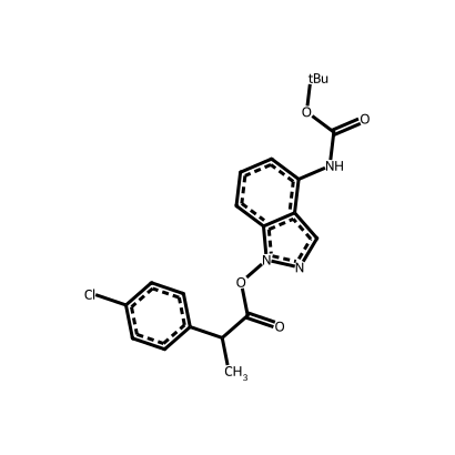 CC(C(=O)On1ncc2c(NC(=O)OC(C)(C)C)cccc21)c1ccc(Cl)cc1